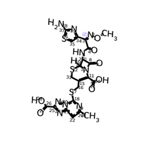 CO/N=C(\C(=O)N[C@@H]1C(=O)N2C(C(=O)O)=C(CSc3nc(C)cc4nc(C(=O)O)nn34)CS[C@H]12)c1csc(N)n1